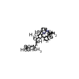 C=c1[nH]c2c(C)c(C(=O)NCCN(C)CCOP(=O)(O)O)cc(-c3cccc(S(=O)(=O)C4CC4)c3)c2/c1=C/C(Cl)=C\N